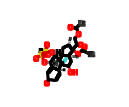 CCC(=O)OCC(=O)[C@]1(OC(=O)CC)[C@@H](C)C[C@H]2[C@@H]3[C@@H](OS(C)(=O)=O)[C@@H](OS(C)(=O)=O)C4=CC(=O)C=C[C@]4(C)[C@@]3(F)[C@@H](O)C[C@@]21C